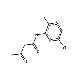 Cc1ccc(Cl)cc1NC(=O)C[N+](=O)[O-]